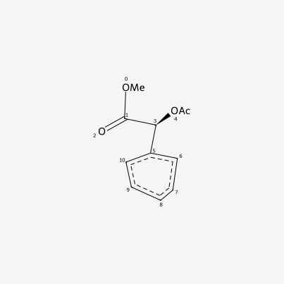 COC(=O)[C@@H](OC(C)=O)c1ccccc1